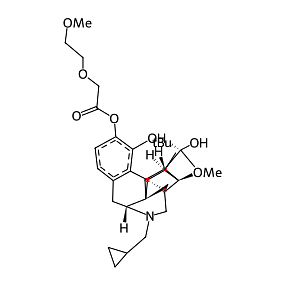 COCCOCC(=O)Oc1ccc2c(c1O)[C@]13CCN(CC4CC4)[C@H](C2)[C@]12CC[C@](OC)([C@@H]([C@](C)(O)C(C)(C)C)C2)[C@@H]3C